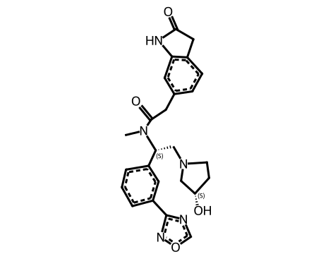 CN(C(=O)Cc1ccc2c(c1)NC(=O)C2)[C@H](CN1CC[C@H](O)C1)c1cccc(-c2ncon2)c1